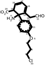 NC1(c2ccc(OCCCCl)cc2)C(CC=O)=CC=CC1C(=O)O